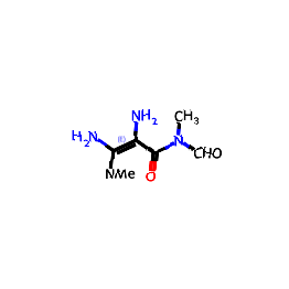 CN/C(N)=C(/N)C(=O)N(C)C=O